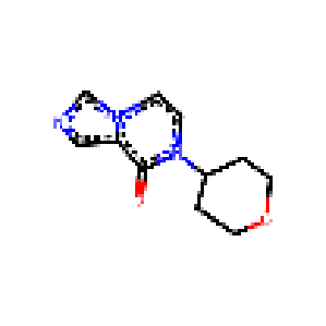 O=c1c2cncn2ccn1C1CCOCC1